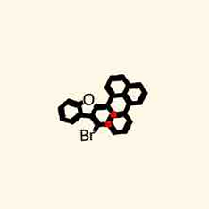 Brc1ccc(-c2cccc3cccc(-c4ccccc4)c23)c2oc3ccccc3c12